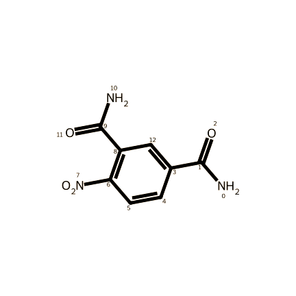 NC(=O)c1ccc([N+](=O)[O-])c(C(N)=O)c1